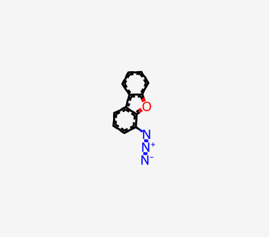 [N-]=[N+]=Nc1cccc2c1oc1ccccc12